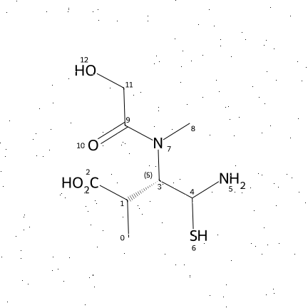 CC(C(=O)O)[C@@H](C(N)S)N(C)C(=O)CO